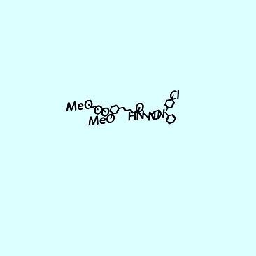 COCCOCOc1ccc(C=CC=CC(=O)NCCN2CCN(C(c3ccccc3)c3ccc(Cl)cc3)CC2)cc1OC